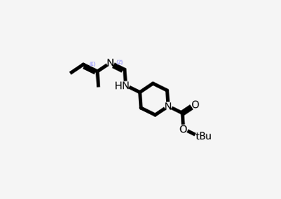 C/C=C(C)/N=C\NC1CCN(C(=O)OC(C)(C)C)CC1